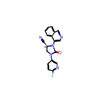 N#C[C@@H]1CN(c2ccc(F)nc2)C(=O)N1c1cncc2ccccc12